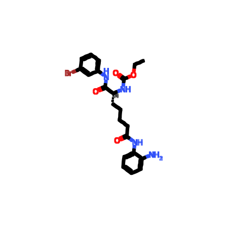 CCOC(=O)N[C@H](CCCCC(=O)Nc1ccccc1N)C(=O)Nc1cccc(Br)c1